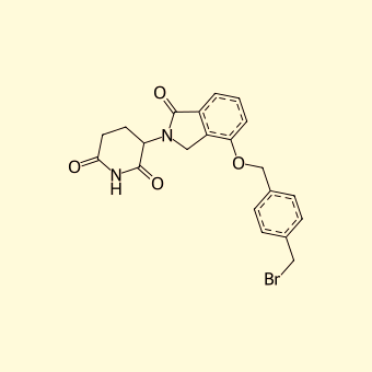 O=C1CCC(N2Cc3c(OCc4ccc(CBr)cc4)cccc3C2=O)C(=O)N1